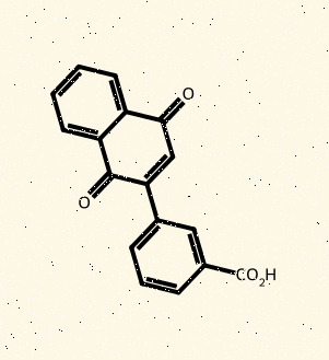 O=C(O)c1cccc(C2=CC(=O)c3ccccc3C2=O)c1